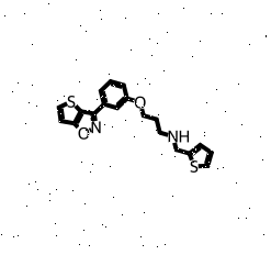 c1cc(OCCCNCc2cccs2)cc(-c2noc3ccsc23)c1